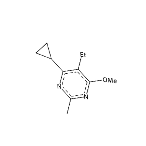 CCc1c(OC)nc(C)nc1C1CC1